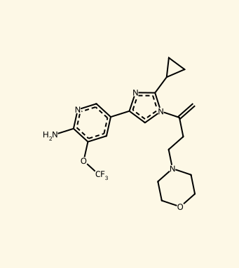 C=C(CCN1CCOCC1)n1cc(-c2cnc(N)c(OC(F)(F)F)c2)nc1C1CC1